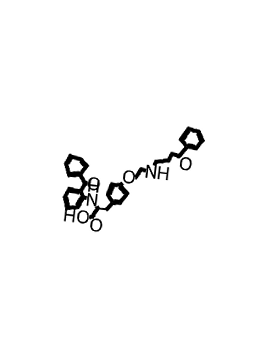 O=C(CCCNCCOc1ccc(C[C@H](Nc2ccccc2C(=O)c2ccccc2)C(=O)O)cc1)c1ccccc1